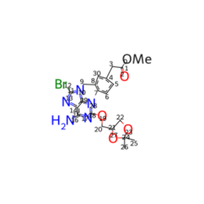 COC(=O)Cc1cccc(Cn2c(Br)nc3c(N)nc(OCC4COC(C)(C)O4)nc32)c1